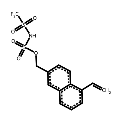 C=Cc1cccc2cc(COS(=O)(=O)NS(=O)(=O)C(F)(F)F)ccc12